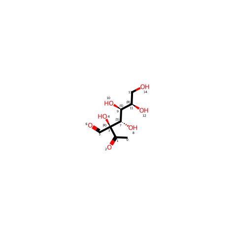 CC(=O)[C@](O)(C=O)[C@@H](O)[C@@H](O)[C@H](O)CO